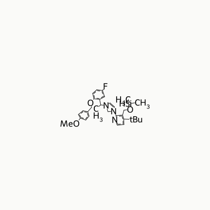 COc1ccc(COc2ccc(F)cc2C(C)N2C=CN(c3nccc(C(C)(C)C)c3CO[SiH](C)C)C2)cc1